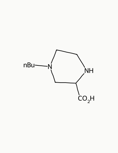 CCCCN1CCNC(C(=O)O)C1